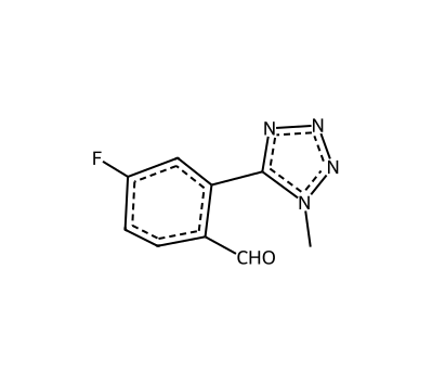 Cn1nnnc1-c1cc(F)ccc1C=O